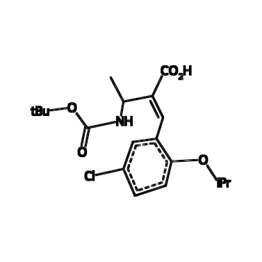 CC(C)Oc1ccc(Cl)cc1C=C(C(=O)O)C(C)NC(=O)OC(C)(C)C